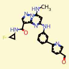 CNc1cc(Nc2cccc(-c3ccc(C=O)cn3)c2)nc2c(C(=O)N[C@@H]3C[C@@H]3F)cnn12